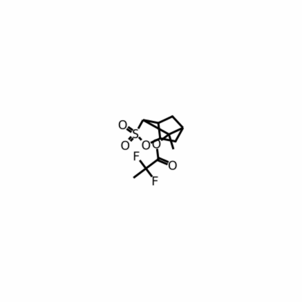 CC(F)(F)C(=O)OC1(C)C2CC3OS(=O)(=O)C1C3C2